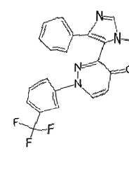 Cn1cnc(-c2ccccc2)c1-c1nn(-c2cccc(C(F)(F)F)c2)ccc1=O